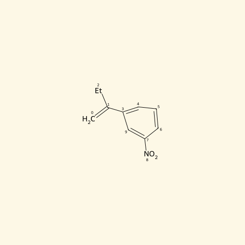 C=C(CC)c1cccc([N+](=O)[O-])c1